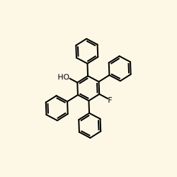 Oc1c(-c2ccccc2)c(-c2ccccc2)c(F)c(-c2ccccc2)c1-c1ccccc1